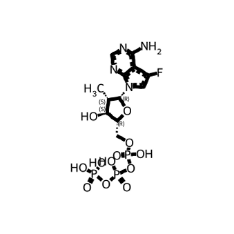 C[C@H]1[C@H](O)[C@@H](COP(=O)(O)OP(=O)(O)OP(=O)(O)O)O[C@H]1n1cc(F)c2c(N)ncnc21